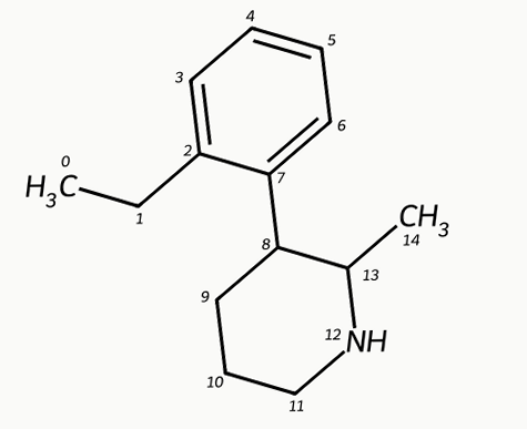 CCc1ccccc1C1CCCNC1C